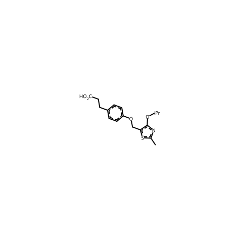 Cc1nc(OC(C)C)c(COc2ccc(CCC(=O)O)cc2)s1